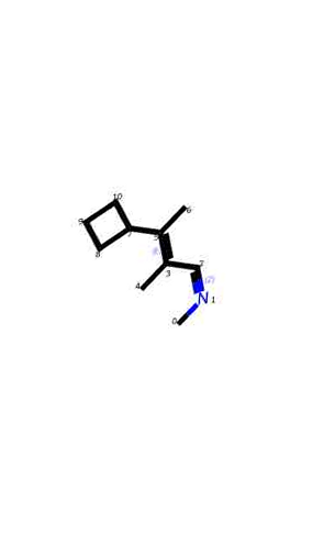 C/N=C\C(C)=C(/C)C1CCC1